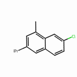 Cc1cc(C(C)C)cc2ccc(Cl)cc12